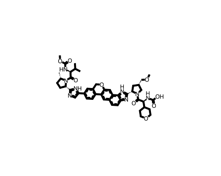 COC[C@H]1C[C@@H](c2nc3ccc4cc5c(cc4c3[nH]2)OCc2cc(-c3cnc([C@@H]4CC[C@H](C)N4C(=O)[C@@H](NC(=O)OC)C(C)C)[nH]3)ccc2-5)N(C(=O)[C@@H](NC(=O)O)C2CCOCC2)C1